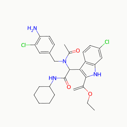 C=C(OCC)c1[nH]c2cc(Cl)ccc2c1C(C(=O)NC1CCCCC1)N(Cc1ccc(N)c(Cl)c1)C(C)=O